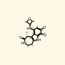 C[C@H]1C(=O)NCCc2[nH]c3c(Cl)c(Cl)cc(NC4COC4)c3c21